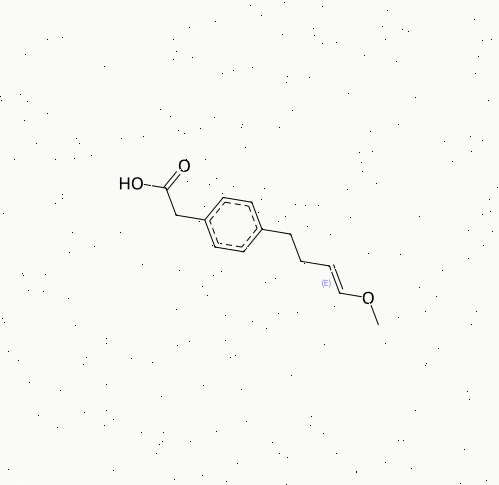 CO/C=C/CCc1ccc(CC(=O)O)cc1